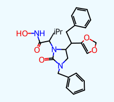 CC(C)C(C(=O)NO)N1C(=O)N(Cc2ccccc2)CC1C(Cc1ccccc1)C1=COCO1